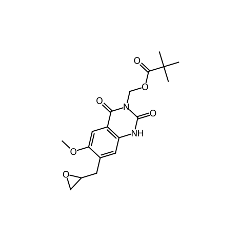 COc1cc2c(=O)n(COC(=O)C(C)(C)C)c(=O)[nH]c2cc1CC1CO1